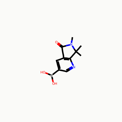 CN1C(=O)c2cc(B(O)O)cnc2C1(C)C